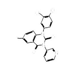 Cc1ccc2c(c1)c(=O)n(-c1cccnc1)c(=O)n2-c1ccc(Cl)c(Cl)c1